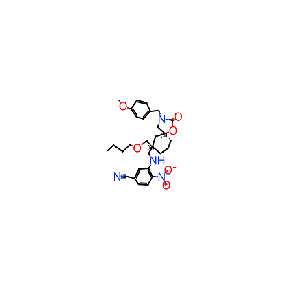 CCCCOC[C@]1(CNc2cc(C#N)ccc2[N+](=O)[O-])CCC[C@@]2(CN(Cc3ccc(OC)cc3)C(=O)O2)C1